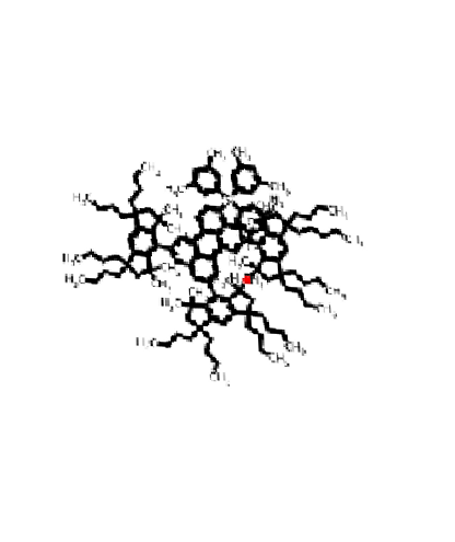 CCCCCC1(CCCC)CC(C)(C)c2c1cc1c(c2-c2cc3c([Si](c4cc(C)cc(C)c4)(c4cc(C)cc(C)c4)c4cc(C)cc(C)c4)ccc4c5cc(-c6c7c(cc8c6C(C)(C)CC8(CCCC)CCCC)C(CCCC)(CCCC)CC7(C)C)cc6cc(-c7c8c(cc9c7C(C)(C)CC9(CCCC)CCCC)C(CCCC)(CCCC)CC8(C)C)cc(c(c2)c34)c65)C(C)(C)CC1(CCCC)CCCC